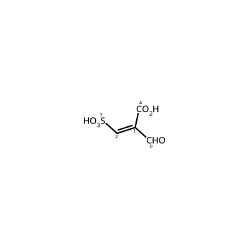 O=CC(=CS(=O)(=O)O)C(=O)O